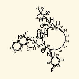 Cc1nc2ccccc2c2c1O[C@]1(CC2)C[C@H]2C(=O)N[C@]3(C(=O)NS(=O)(=O)C4(C)CC4)C[C@H]3C=CCCCCC[C@H](Nc3cccc(F)c3)C(=O)N2C1